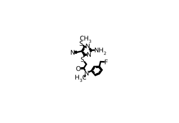 CSc1nc(N)nc(SCC(=O)N(C)c2cccc(CF)c2)c1C#N